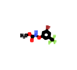 COC(=O)NOc1cc(Br)cc(C(F)(F)F)c1